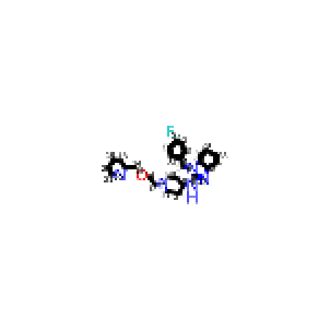 Fc1ccc(Cn2c(NC3CCN(CCOCc4ccccn4)CC3)nc3ccccc32)cc1